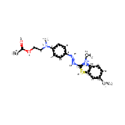 CCC(C)C(=O)OCCN(CC)c1ccc(/N=N/c2sc3cc(OC)ccc3[n+]2C)cc1